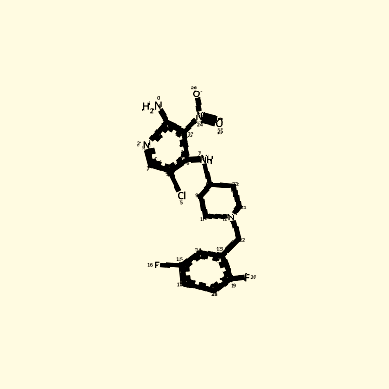 Nc1ncc(Cl)c(NC2CCN(Cc3cc(F)ccc3F)CC2)c1[N+](=O)[O-]